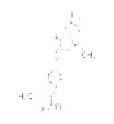 CCSC(Cc1ccc(CCCN2CN(CC)c3ccc(C)cc3C2=O)cc1)C(=O)O